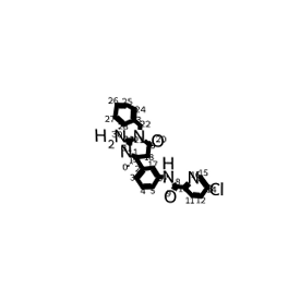 C[C@@]1(c2cccc(NC(=O)c3ccc(Cl)cn3)c2)CC(=O)N(Cc2ccccc2)C(N)=N1